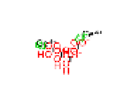 O=C([O-])CO.O=C([O-])CO.O=C([O-])CO.O=C([O-])CO.[Ce+4].[Ce+4].[Cl-].[Cl-].[Cl-].[Cl-]